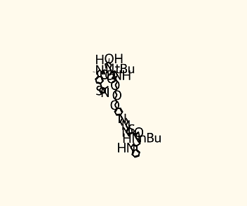 CCCCC(Cc1c[nH]c2ccccc12)NC(=O)c1cnc(N2CCN(c3ccc(OCCOCCOCC(=O)N[C@H](C(=O)N4C[C@H](O)C[C@H]4C(=O)N[C@@H](C)c4ccc(-c5scnc5C)cc4)C(C)(C)C)cc3)CC2)s1